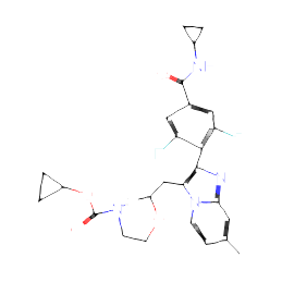 Cc1ccn2c(CC3CN(C(=O)OC4CC4)CCO3)c(-c3c(F)cc(C(=O)NC4CC4)cc3F)nc2c1